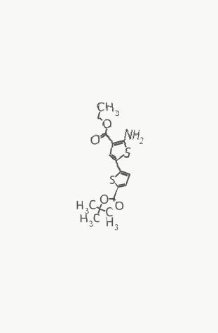 CCOC(=O)c1cc(-c2ccc(C(=O)OC(C)(C)C)s2)sc1N